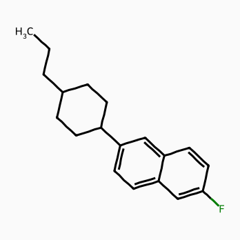 CCCC1CCC(c2ccc3cc(F)ccc3c2)CC1